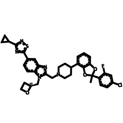 CC1(c2ccc(Cl)cc2F)Oc2cccc(C3CCN(Cc4nc5cc(-c6nc(C7CC7)ns6)ccc5n4C[C@@H]4CCO4)CC3)c2O1